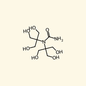 NC(=O)N(C(CO)(CO)CO)C(CO)(CO)CO